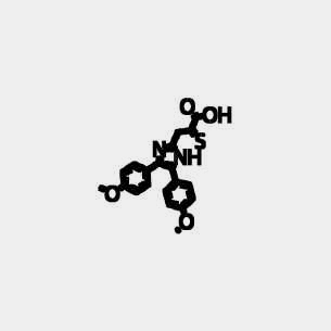 COc1ccc(-c2nc(CC(=S)C(=O)O)[nH]c2-c2ccc(OC)cc2)cc1